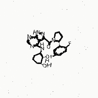 O=C(c1n[nH]c2ncnc(N[C@@H]3CCC[C@@H](O)[C@H]3O)c12)N1CCC[C@@H]1c1cc(F)ccc1F